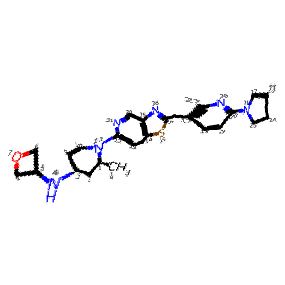 C[C@H]1C[C@@H](NC2COC2)CCN1c1cc2sc(-c3ccc(N4CCCC4)nc3)nc2cn1